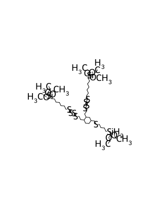 CCOC(OCC)[SiH2]CCCCSCC1CCC(CCSSSSCCCCCCC[Si](OCC)(OCC)OCC)C(CCSSSSCCCCCCC[Si](OCC)(OCC)OCC)C1